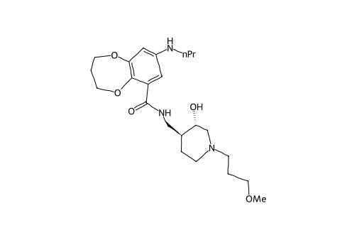 CCCNc1cc2c(c(C(=O)NC[C@@H]3CCN(CCCOC)C[C@H]3O)c1)OCCCO2